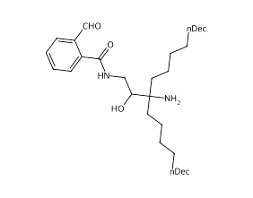 CCCCCCCCCCCCCCC(N)(CCCCCCCCCCCCCC)C(O)CNC(=O)c1ccccc1C=O